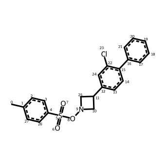 Cc1ccc(S(=O)(=O)ON2CC(c3ccc(-c4ccccc4)c(Cl)c3)C2)cc1